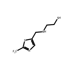 FC(F)(F)c1ncc(CNCCS)s1